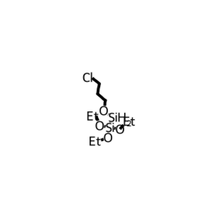 CCO[Si](OCC)(OCC)[SiH2]OCCCCl